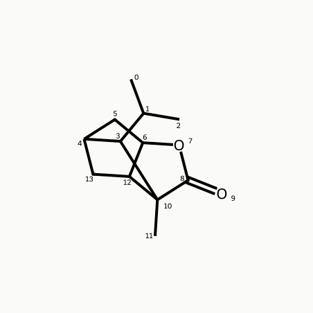 CC(C)C1C2CC3OC(=O)C1(C)C3C2